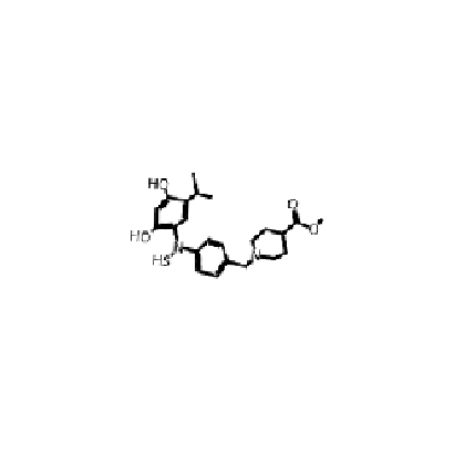 COC(=O)C1CCN(Cc2ccc(N(S)c3cc(C(C)C)c(O)cc3O)cc2)CC1